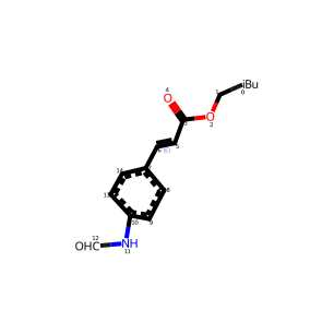 CCC(C)COC(=O)/C=C/c1ccc(NC=O)cc1